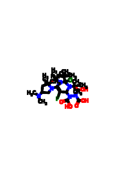 CN(C)C1CN(C2=C(F)C(N(C(=O)O)N(C(=O)O)C(=O)O)N(C(C)(C)C)C(Cl)(C(C)(C)C)N2C(C)(C)C)C(C)(C)C1